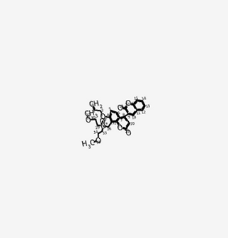 C=CCOc1ccc2c(-c3cc4ccccc4oc3=O)cc(=O)oc2c1C[N+]([O-])(CCOC)CCOC